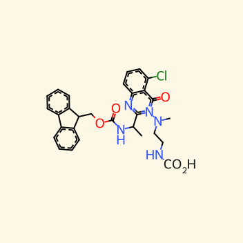 CC(NC(=O)OCC1c2ccccc2-c2ccccc21)c1nc2cccc(Cl)c2c(=O)n1N(C)CCNC(=O)O